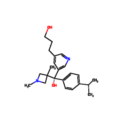 CC(C)c1ccc([C@](O)(c2cncc(CCCO)c2)C2(C)CN(C)C2)cc1